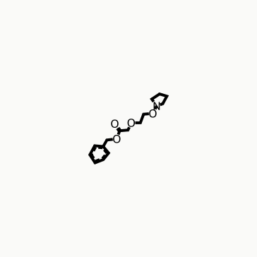 O=C(COCCON1CCCC1)OCc1ccccc1